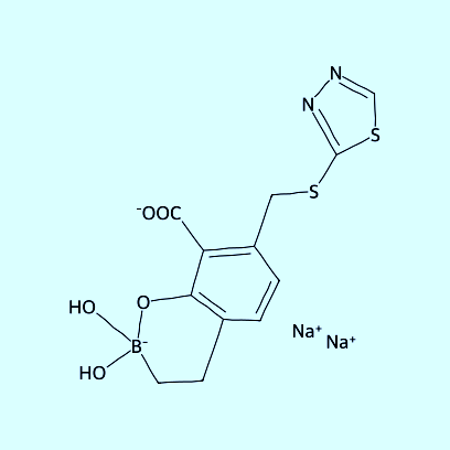 O=C([O-])c1c(CSc2nncs2)ccc2c1O[B-](O)(O)CC2.[Na+].[Na+]